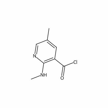 CNc1ncc(C)cc1C(=O)Cl